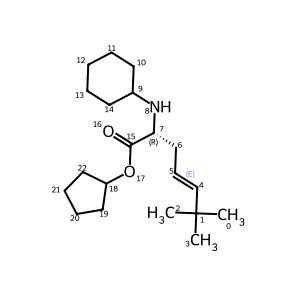 CC(C)(C)/C=C/C[C@@H](NC1CCCCC1)C(=O)OC1CCCC1